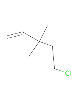 C=CC(C)(C)CCCl